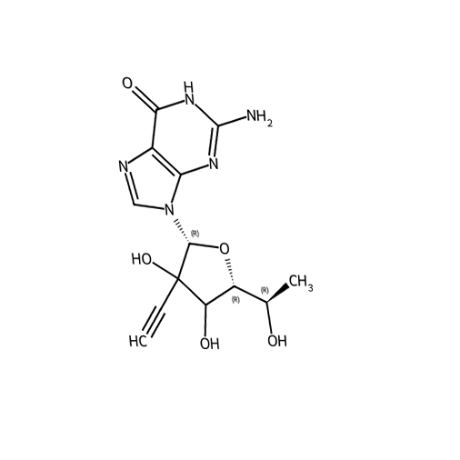 C#CC1(O)C(O)[C@@H]([C@@H](C)O)O[C@H]1n1cnc2c(=O)[nH]c(N)nc21